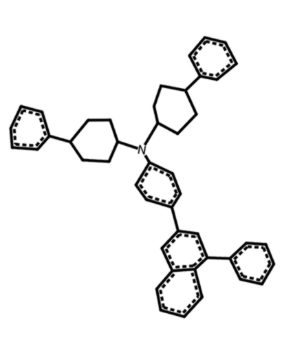 c1ccc(-c2cc(-c3ccc(N(C4CCC(c5ccccc5)CC4)C4CCC(c5ccccc5)CC4)cc3)cc3ccccc23)cc1